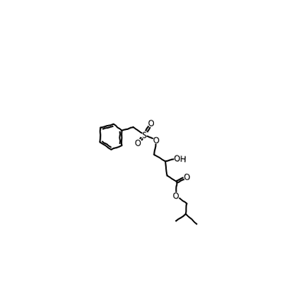 CC(C)COC(=O)CC(O)COS(=O)(=O)Cc1ccccc1